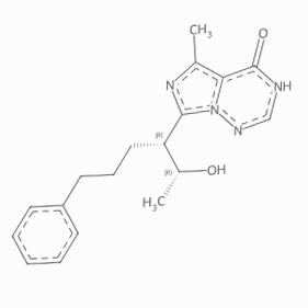 Cc1nc([C@@H](CCCc2ccccc2)[C@@H](C)O)n2nc[nH]c(=O)c12